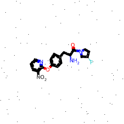 N[C@@H](Cc1ccc(Oc2ncccc2[N+](=O)[O-])cc1)C(=O)N1CC[C@H](F)C1